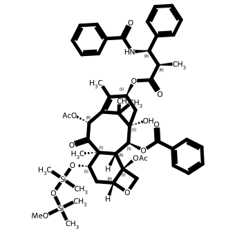 CO[Si](C)(C)O[Si](C)(C)O[C@H]1C[C@H]2OC[C@@]2(OC(C)=O)[C@H]2[C@H](OC(=O)c3ccccc3)[C@]3(O)C[C@H](OC(=O)[C@H](C)[C@@H](NC(=O)c4ccccc4)c4ccccc4)C(C)=C([C@@H](OC(C)=O)C(=O)[C@]12C)C3(C)C